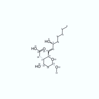 CCCCC[C@H](O)C=C[C@H]1O[C@H](OC)C[C@H](O)[C@@H]1CC(=O)O